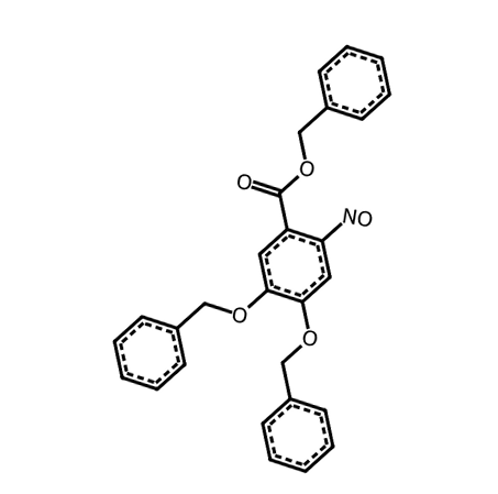 O=Nc1cc(OCc2ccccc2)c(OCc2ccccc2)cc1C(=O)OCc1ccccc1